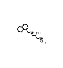 CNCC(O)CNCc1cccc2ccccc12